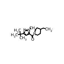 [CH2]CC1CCN(C(=O)c2cc(C(C)(C)C)nn2C)CC1